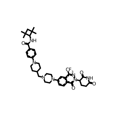 CC1(C)CC(C)(C)C1NC(=O)c1ccc(N2CCC(CN3CCN(c4ccc5c(=O)n(C6CCC(=O)NC6=O)nc(C(F)(F)F)c5c4)CC3)CC2)cc1